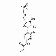 CCC(=O)Nc1ccn([C@@H]2O[C@H](COCP(C)(C)=O)[C@@H](O)[C@@H]2O)c(=O)n1